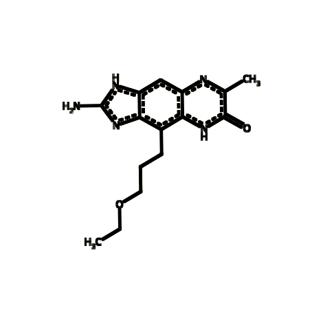 CCOCCCc1c2nc(N)[nH]c2cc2nc(C)c(=O)[nH]c12